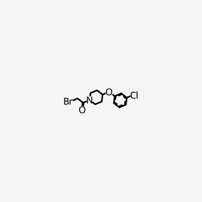 O=C(CBr)N1CCC(Oc2cccc(Cl)c2)CC1